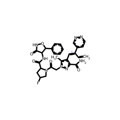 C=C/C(=C\c1c(C(N)=O)nn(CC(=O)N2CC(F)CC2C(=O)NC2C(=O)NOC2c2ccccc2)c1C)c1ccnnc1